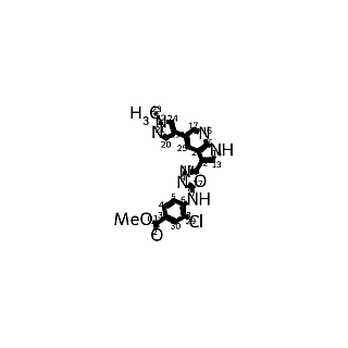 COC(=O)c1ccc(Nc2nnc(-c3c[nH]c4ncc(-c5cnn(C)c5)cc34)o2)c(Cl)c1